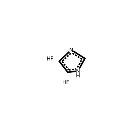 F.F.c1c[nH]cn1